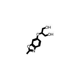 Cc1nc2ccc(OC(CO)CO)cc2o1